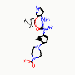 COc1cnccc1NC(=O)Nc1ccc(N2CCN(C(=O)O)CC2)cc1